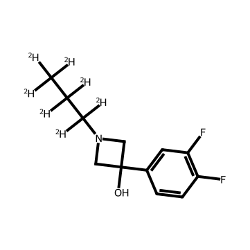 [2H]C([2H])([2H])C([2H])([2H])C([2H])([2H])N1CC(O)(c2ccc(F)c(F)c2)C1